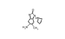 Cc1cc2c(cc1N)=NC(=O)N=2.c1cc[nH]c1